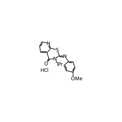 COc1ccc(N=c2sc3ncccc3c(=O)n2C(C)C)cc1.Cl